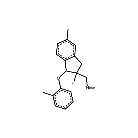 CNCC1(F)Cc2cc(C)ccc2C1Oc1ccccc1C